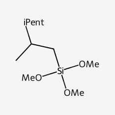 CCCC(C)C(C)C[Si](OC)(OC)OC